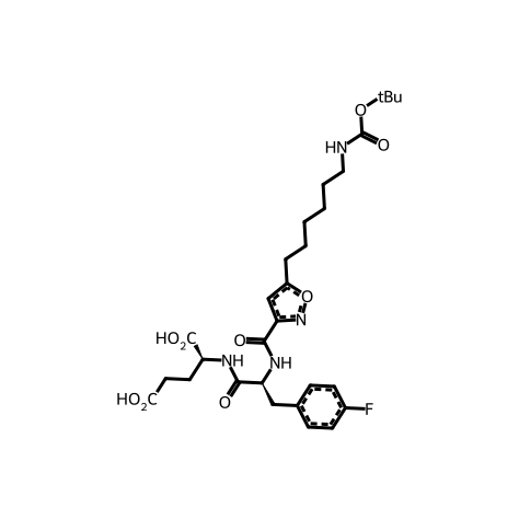 CC(C)(C)OC(=O)NCCCCCCc1cc(C(=O)N[C@@H](Cc2ccc(F)cc2)C(=O)N[C@@H](CCC(=O)O)C(=O)O)no1